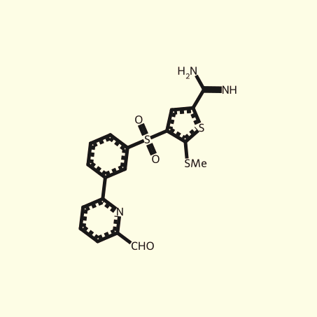 CSc1sc(C(=N)N)cc1S(=O)(=O)c1cccc(-c2cccc(C=O)n2)c1